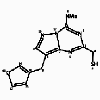 CNc1nc(CS)nc2c(Cc3ccoc3)cnn12